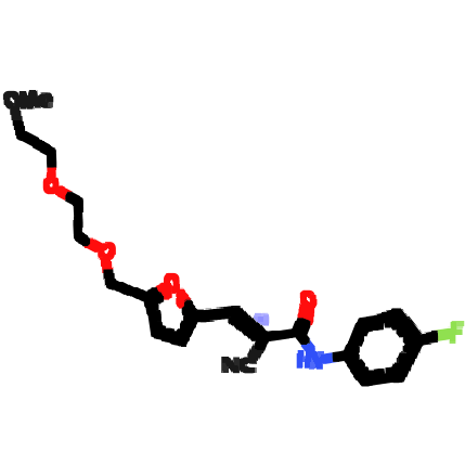 COCCOCCOCc1ccc(/C=C(\C#N)C(=O)Nc2ccc(F)cc2)o1